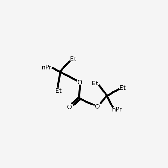 CCCC(CC)(CC)OC(=O)OC(CC)(CC)CCC